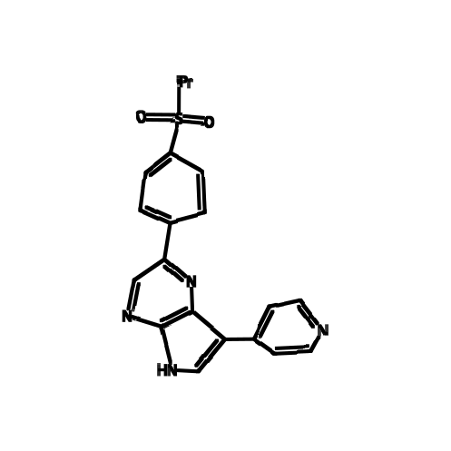 CC(C)S(=O)(=O)c1ccc(-c2cnc3[nH]cc(-c4ccncc4)c3n2)cc1